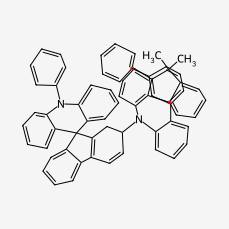 CC1(C)c2ccccc2-c2c(N(c3ccccc3-c3cccc(-c4ccccc4)c3)C3C=CC4=C(C3)C3(c5ccccc54)c4ccccc4N(c4ccccc4)c4ccccc43)cccc21